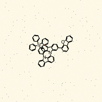 c1ccc([Si](c2ccccc2)(c2ccccc2)c2ccc(-n3c4ccccc4c4cccc(-n5c6ccccc6c6ccc(-c7cccc8c7oc7ccccc78)cc65)c43)cc2)cc1